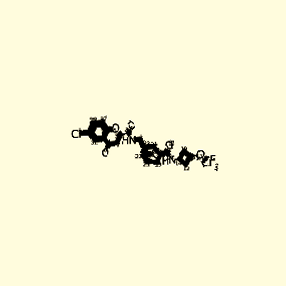 O=C1C[C@H](C(=O)NCC2CC3(C(=O)N[C@H]4C[C@@H](OC(F)(F)F)C4)CCC2CC3)Oc2ccc(Cl)cc21